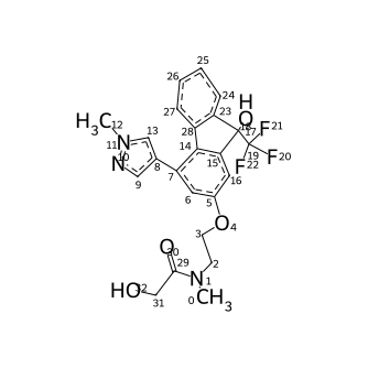 CN(CCOc1cc(-c2cnn(C)c2)c2c(c1)C(O)(C(F)(F)F)c1ccccc1-2)C(=O)CO